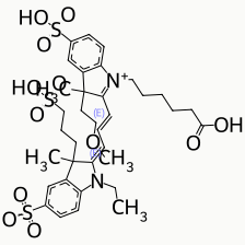 CCN1/C(=C/C=C/C2=[N+](CCCCCC(=O)O)c3ccc(S(=O)(=O)O)cc3C2(C)CCOC)C(C)(CCCS(=O)(=O)O)c2cc(S(=O)(=O)[O-])ccc21